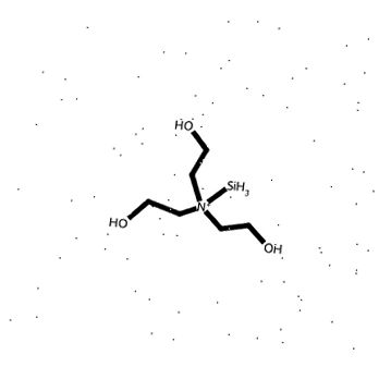 OCC[N+]([SiH3])(CCO)CCO